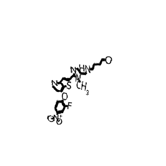 Cn1c(CNCCCC=O)cnc1-c1cc2nccc(Oc3ccc([N+](=O)[O-])cc3F)c2s1